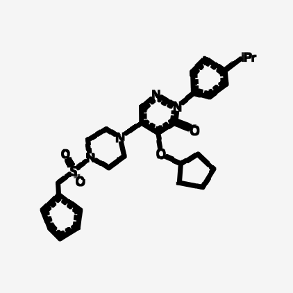 CC(C)c1ccc(-n2ncc(N3CCN(S(=O)(=O)Cc4ccccc4)CC3)c(OC3CCCC3)c2=O)cc1